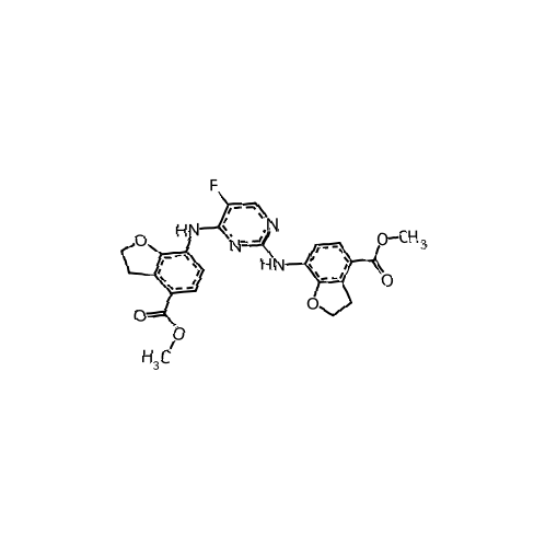 COC(=O)c1ccc(Nc2ncc(F)c(Nc3ccc(C(=O)OC)c4c3OCC4)n2)c2c1CCO2